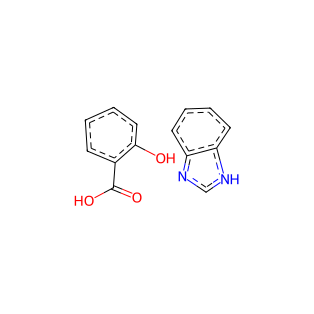 O=C(O)c1ccccc1O.c1ccc2[nH]cnc2c1